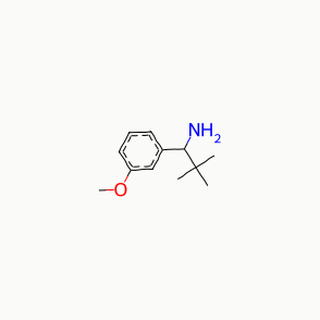 COc1cccc(C(N)C(C)(C)C)c1